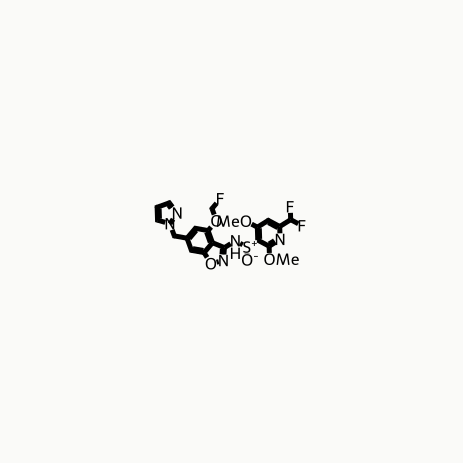 COc1cc(C(F)F)nc(OC)c1[S+]([O-])Nc1noc2cc(Cn3cccn3)cc(OCF)c12